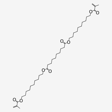 C=C(C)C(=O)OCCCCCCCCCCOC(=O)CCCCCCCCC(=O)OCCCCCCCCCCOC(=O)C(=C)C